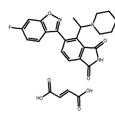 CC(c1c(-c2noc3cc(F)ccc23)ccc2c1C(=O)NC2=O)N1CCCCC1.O=C(O)C=CC(=O)O